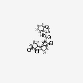 O=C(N[C@H]1CCOc2ccccc21)c1sc2c(-c3cccc(Cl)c3Cl)cccc2c1Cl